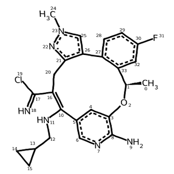 C[C@H]1Oc2cc(cnc2N)/C(NCC2CC2)=C(/C(=N)Cl)Cc2nn(C)cc2-c2ccc(F)cc21